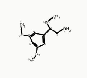 CNC(CN)c1cc(OC)cc(OC)c1